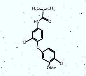 COc1cc(Oc2ccc(NC(=O)N(C)C)cc2Cl)ccc1Cl